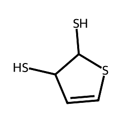 SC1C=CSC1S